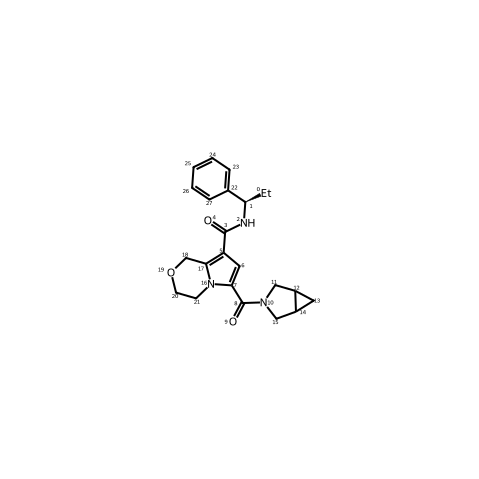 CC[C@@H](NC(=O)c1cc(C(=O)N2CC3CC3C2)n2c1COCC2)c1ccccc1